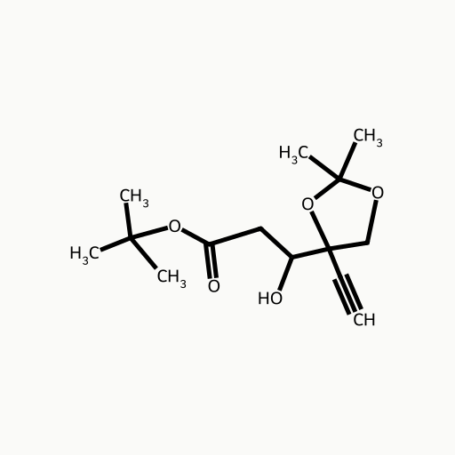 C#CC1(C(O)CC(=O)OC(C)(C)C)COC(C)(C)O1